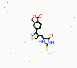 O=C1NC(=S)N/C1=C\c1csnc1-c1ccc2c(c1)COC2=O